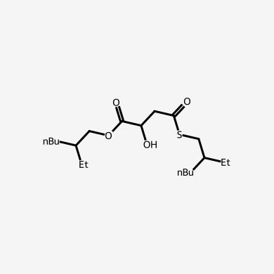 CCCCC(CC)COC(=O)C(O)CC(=O)SCC(CC)CCCC